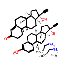 C#C[C@]1(O)CC[C@H]2[C@@H]3CCC4=CC(=O)CC[C@@H]4[C@H]3CC[C@@]21CC.C#C[C@]1(O)CC[C@H]2[C@@H]3CCc4cc(O)ccc4[C@H]3CC[C@@]21C.NCC(=O)[O-].NCC(=O)[O-].[Fe+2]